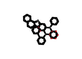 c1ccc(-c2ccccc2N(c2ccccc2)c2cc3c(cc2N(c2ccccc2)c2ccccc2)oc2c4ccccc4ccc32)cc1